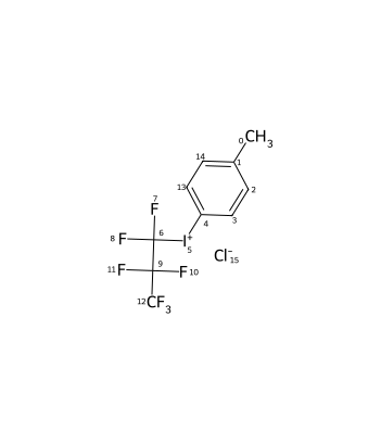 Cc1ccc([I+]C(F)(F)C(F)(F)C(F)(F)F)cc1.[Cl-]